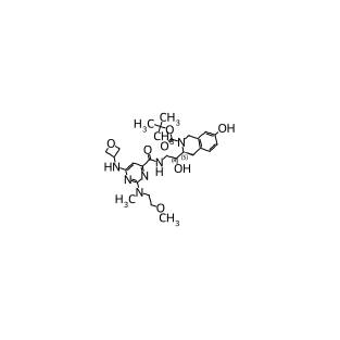 COCCN(C)c1nc(NC2COC2)cc(C(=O)NC[C@@H](O)[C@@H]2Cc3ccc(O)cc3CN2C(=O)OC(C)(C)C)n1